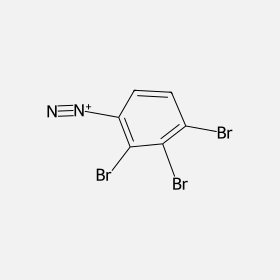 N#[N+]c1ccc(Br)c(Br)c1Br